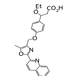 CCOC(CC(=O)O)c1ccc(OCc2nc(-c3ccc4ccccc4n3)oc2C)cc1